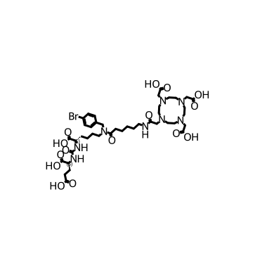 O=C(O)CC[C@H](NC(=O)N[C@@H](CCCCN(Cc1ccc(Br)cc1)C(=O)CCCCCNC(=O)CN1CCN(CC(=O)O)CCN(CC(=O)O)CCN(CC(=O)O)CC1)C(=O)O)C(=O)O